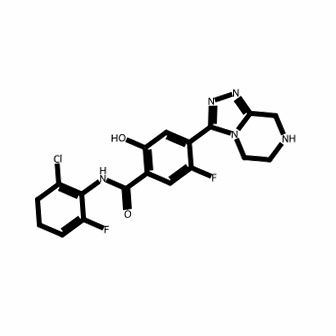 O=C(NC1=C(Cl)CCC=C1F)c1cc(F)c(-c2nnc3n2CCNC3)cc1O